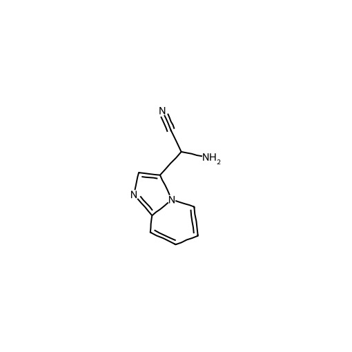 N#CC(N)c1cnc2ccccn12